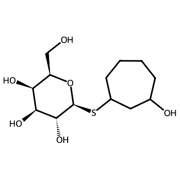 OC[C@H]1O[C@@H](SC2CCCCC(O)C2)[C@H](O)[C@@H](O)[C@H]1O